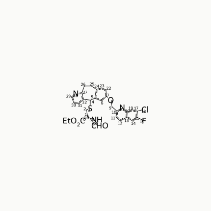 CCOC(=O)[C@H](CSC1c2cc(OCc3ccc4cc(F)c(Cl)cc4n3)ccc2CCc2ncccc21)NC=O